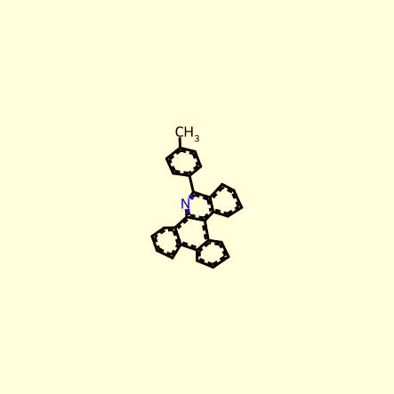 Cc1ccc(-c2nc3c4ccccc4c4ccccc4c3c3ccccc23)cc1